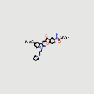 CNC(=O)Nc1ccc2c(c1)C(=O)/C(=C/c1c(C)n(CCCN3CCCC3)c3ccc(OC)cc13)O2